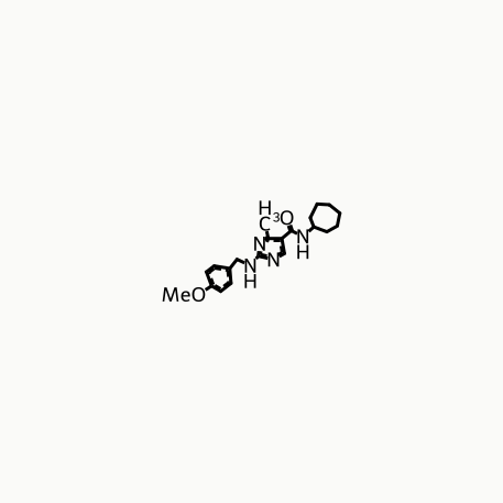 COc1ccc(CNc2ncc(C(=O)NC3CCCCCC3)c(C)n2)cc1